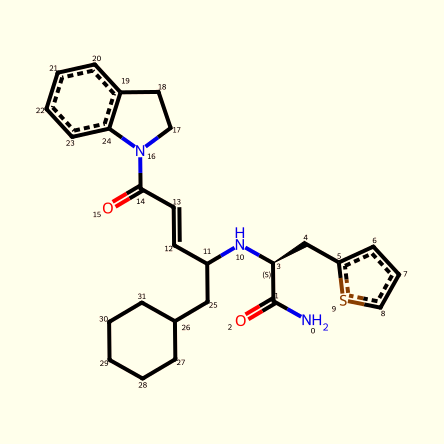 NC(=O)[C@H](Cc1cccs1)NC(C=CC(=O)N1CCc2ccccc21)CC1CCCCC1